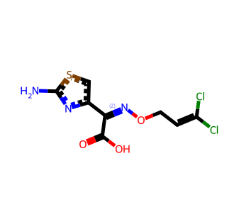 Nc1nc(/C(=N/OCC=C(Cl)Cl)C(=O)O)cs1